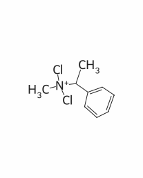 CC(c1ccccc1)[N+](C)(Cl)Cl